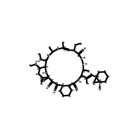 CCC1/C=C(\C)CC(C)CC(OC)C2OC(O)(C(=O)C(=O)N3CCCCC3C(=O)OC(C(C)=C[C@@]34CCCC[C@H]3O4)C(C)CCC1=O)C(C)CC2OC